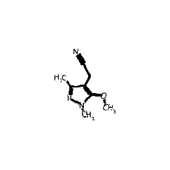 COc1c(CC#N)c(C)nn1C